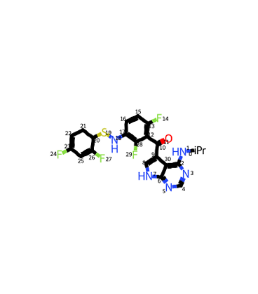 CC(C)Nc1ncnc2[nH]cc(C(=O)c3c(F)ccc(NSC4CC=C(F)C=C4F)c3F)c12